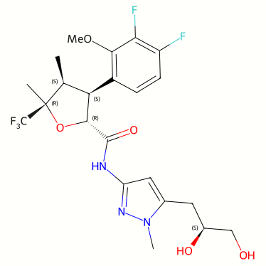 COc1c([C@H]2[C@H](C(=O)Nc3cc(C[C@H](O)CO)n(C)n3)O[C@@](C)(C(F)(F)F)[C@H]2C)ccc(F)c1F